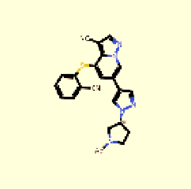 CC(=O)N1CC[C@H](n2cc(-c3cc(Sc4ccccc4C#N)c4c(C#N)cnn4c3)cn2)C1